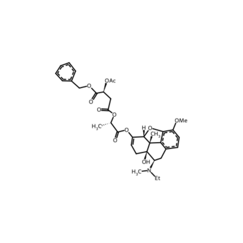 CCN(C)[C@@H]1Cc2ccc(OC)c3c2[C@@]2(C)[C@@H](O3)C(OC(=O)[C@H](C)OC(=O)C[C@H](OC(C)=O)C(=O)OCc3ccccc3)=CC[C@@]12O